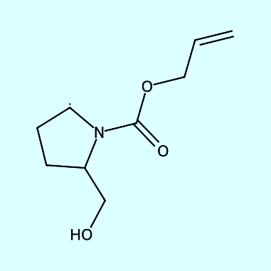 C=CCOC(=O)N1[CH]CCC1CO